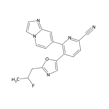 CC(F)Cc1ncc(-c2ccc(C#N)nc2-c2ccn3ccnc3c2)o1